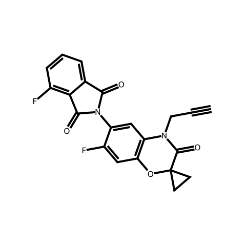 C#CCN1C(=O)C2(CC2)Oc2cc(F)c(N3C(=O)c4cccc(F)c4C3=O)cc21